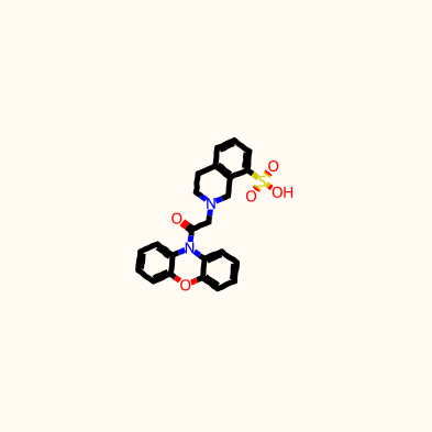 O=C(CN1CCc2cccc(S(=O)(=O)O)c2C1)N1c2ccccc2Oc2ccccc21